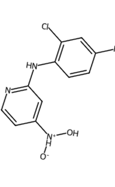 [O-][NH+](O)c1ccnc(Nc2ccc(F)cc2Cl)c1